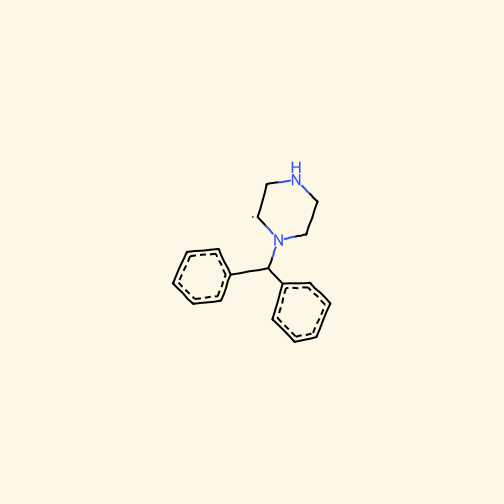 [CH]1CNCCN1C(c1ccccc1)c1ccccc1